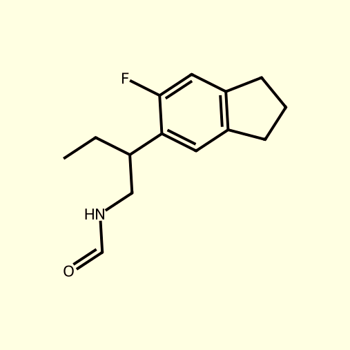 CCC(CNC=O)c1cc2c(cc1F)CCC2